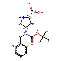 CC(C)(C)OC(=O)N(Cc1ccccc1)[C@H]1CN[C@H](C(=O)O)C1